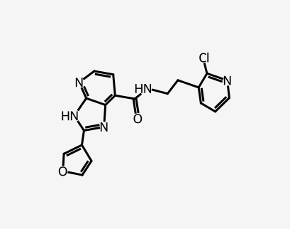 O=C(NCCc1cccnc1Cl)c1ccnc2[nH]c(-c3ccoc3)nc12